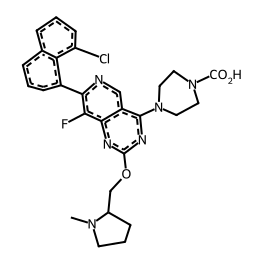 CN1CCCC1COc1nc(N2CCN(C(=O)O)CC2)c2cnc(-c3cccc4cccc(Cl)c34)c(F)c2n1